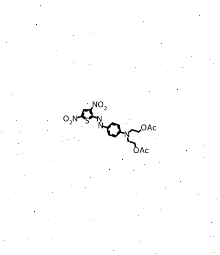 CC(=O)OCCN(CCOC(C)=O)c1ccc(N=Nc2sc([N+](=O)[O-])cc2[N+](=O)[O-])cc1